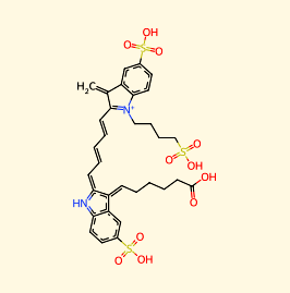 C=C1C(/C=C/C=C/C=c2/[nH]c3ccc(S(=O)(=O)O)cc3/c2=C\CCCCC(=O)O)=[N+](CCCCS(=O)(=O)O)c2ccc(S(=O)(=O)O)cc21